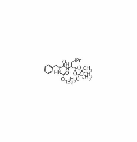 CC(C)CC(NC(=O)[C@H](Cc1ccccc1)NC(=O)OC(C)(C)C)B1OC(C)(C)C(C)(C)O1